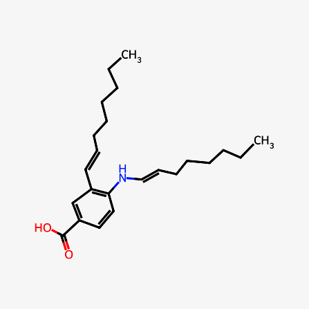 CCCCCCC=CNc1ccc(C(=O)O)cc1C=CCCCCCC